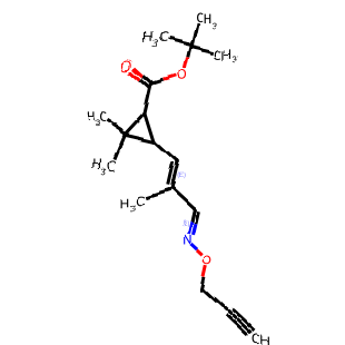 C#CCO/N=C/C(C)=C/C1C(C(=O)OC(C)(C)C)C1(C)C